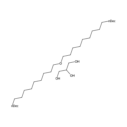 CCCCCCCCCCCCCCCCCCCOCCCCCCCCCCCCCCCCCCC.OCC(O)CO